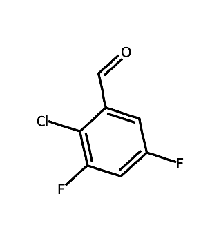 O=Cc1cc(F)cc(F)c1Cl